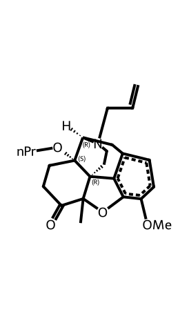 C=CCN1CC[C@]23c4c5ccc(OC)c4OC2(C)C(=O)CC[C@@]3(OCCC)[C@H]1C5